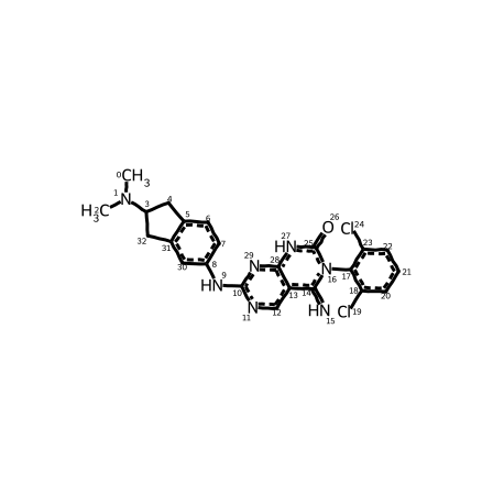 CN(C)C1Cc2ccc(Nc3ncc4c(=N)n(-c5c(Cl)cccc5Cl)c(=O)[nH]c4n3)cc2C1